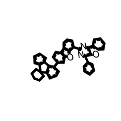 c1ccc(-c2nc(-c3cccc4c3oc3cc(-c5cccc6c5-c5ccccc5C65CCCCC5)ccc34)nc3c2oc2ccccc23)cc1